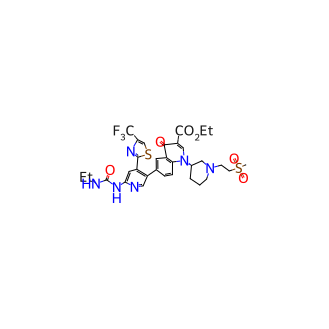 CCNC(=O)Nc1cc(-c2nc(C(F)(F)F)cs2)c(-c2ccc3c(c2)c(=O)c(C(=O)OCC)cn3[C@@H]2CCCN(CCS(C)(=O)=O)C2)cn1